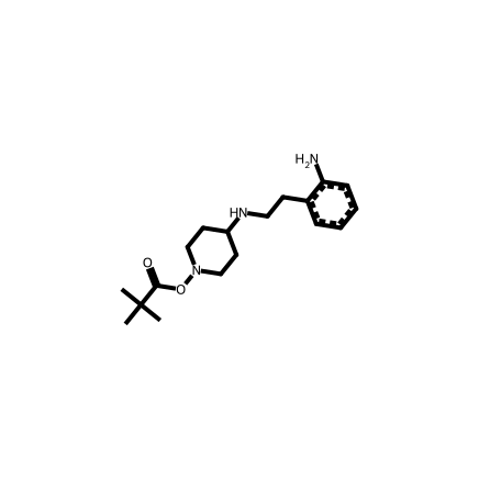 CC(C)(C)C(=O)ON1CCC(NCCc2ccccc2N)CC1